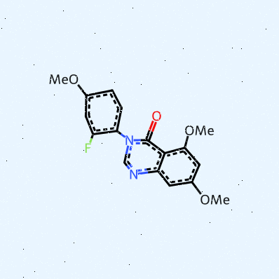 COc1ccc(-n2cnc3cc(OC)cc(OC)c3c2=O)c(F)c1